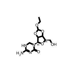 CCOC1OC2C(O1)[C@@H](CO)O[C@H]2N1CNC(N)=NC1=O